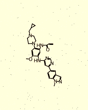 C=CC(=O)Nc1cc(Nc2cc(-c3ccc4c(cnn4C)c3)ncn2)c(OC)cc1N1CCN(CC2CC2)CC1